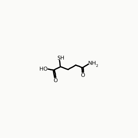 NC(=O)CCC(S)C(=O)O